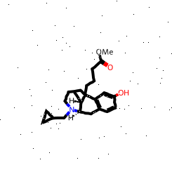 COC(=O)CCCC12CCCN(CC3CC3)[C@H](Cc3ccc(O)cc31)[C@@H]2C